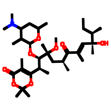 CC[C@@H](C)[C@@](C)(O)/C=C(\C)C(=O)[C@H](C)C[C@@](C)(OC)[C@H](O[C@@H]1OC(C)CC(N(C)C)C1C)[C@@H](C)C1=C(C)C(=O)OC(C)(C)O1